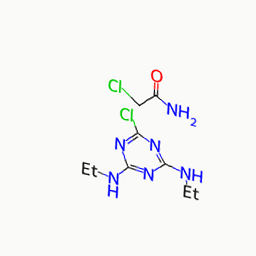 CCNc1nc(Cl)nc(NCC)n1.NC(=O)CCl